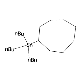 CCC[CH2][Sn]([CH2]CCC)([CH2]CCC)[C]1CCCCCCC1